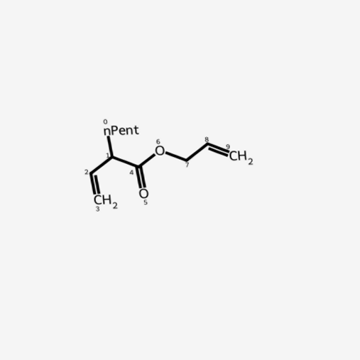 [CH2]CCCCC(C=C)C(=O)OCC=C